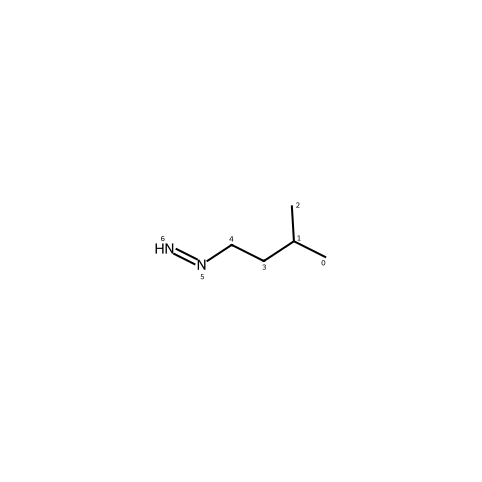 CC(C)CCN=N